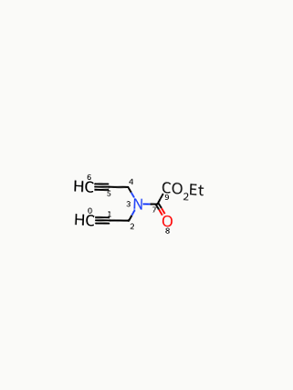 C#CCN(CC#C)C(=O)C(=O)OCC